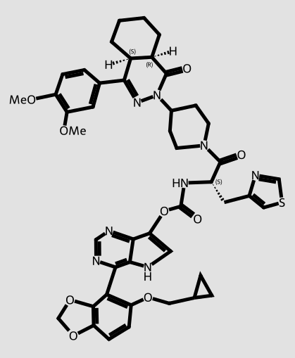 COc1ccc(C2=NN(C3CCN(C(=O)[C@H](Cc4cscn4)NC(=O)Oc4c[nH]c5c(-c6c(OCC7CC7)ccc7c6OCO7)ncnc45)CC3)C(=O)[C@@H]3CCCC[C@H]23)cc1OC